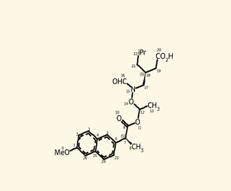 COc1ccc2cc([C@H](C)C(=O)OC(C)ON(C=O)C[C@H](CC(=O)O)CC(C)C)ccc2c1